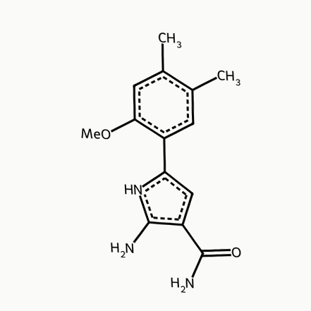 COc1cc(C)c(C)cc1-c1cc(C(N)=O)c(N)[nH]1